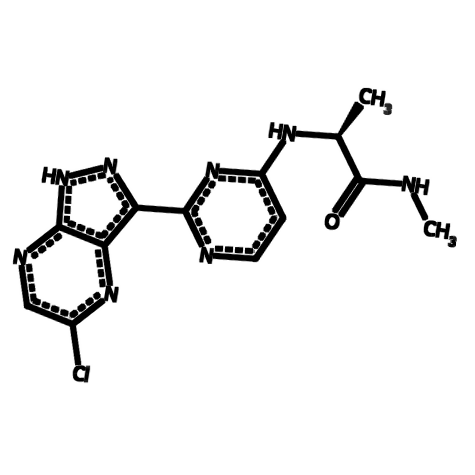 CNC(=O)[C@H](C)Nc1ccnc(-c2n[nH]c3ncc(Cl)nc23)n1